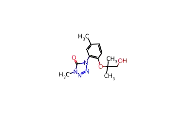 Cc1ccc(OC(C)(C)CO)c(-n2nnn(C)c2=O)c1